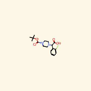 CC(C)(C)OC(=O)N1CCN(C(C(=O)O)c2ccccc2F)CC1